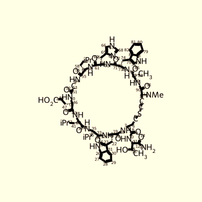 CN[C@H]1CCSCC[C@@H](C(=O)N[C@H](C(N)=O)[C@@H](C)O)NC(=O)[C@H](Cc2c[nH]c3ccccc23)NC(=O)[C@H](C(C)C)NC(=O)[C@H](CC(C)C)NC(=O)[C@H](CCC(=O)O)NC(=O)CNC(=O)[C@H](CC(C)C)NC(=O)[C@H](Cc2c[nH]cn2)NC(=O)[C@H](Cc2c[nH]c3ccccc23)NC(=O)[C@H](C)NC1=O